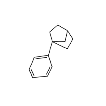 [CH]1CC2(c3ccccc3)CCC1C2